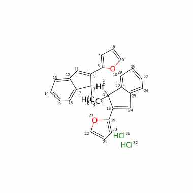 C[C]1([Hf][C]2(C)C(c3ccco3)=Cc3ccccc32)C(c2ccco2)=Cc2ccccc21.Cl.Cl